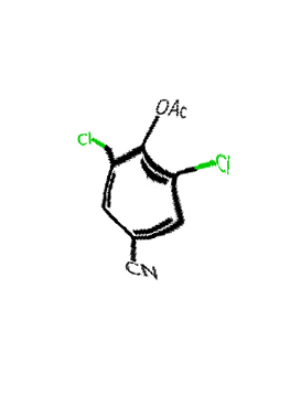 CC(=O)Oc1c(Cl)cc(C#N)cc1Cl